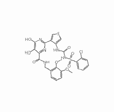 COc1cccc(CNC(=O)c2nc(-c3cscc3NC(=O)NS(=O)(=O)c3ccccc3Cl)nc(O)c2O)c1OC